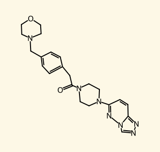 O=C(Cc1ccc(CN2CCOCC2)cc1)N1CCN(c2ccc3nncn3n2)CC1